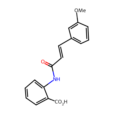 COc1cccc(/C=C/C(=O)Nc2ccccc2C(=O)O)c1